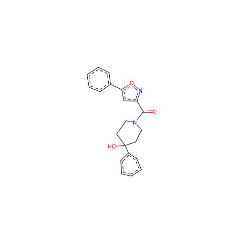 O=C(c1cc(-c2ccccc2)on1)N1CCC(O)(c2ccccc2)CC1